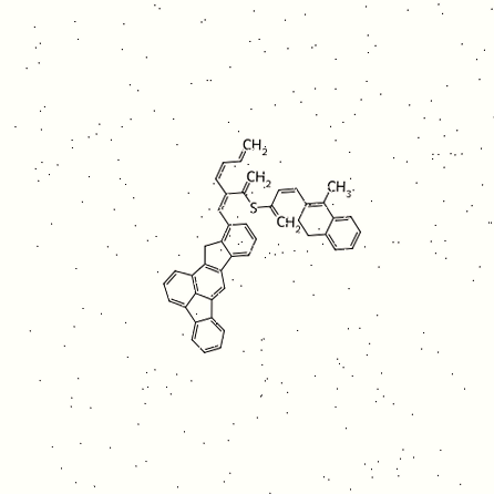 C=C/C=C\C(=Cc1cccc2c1Cc1c-2cc2c3c(cccc13)-c1ccccc1-2)C(=C)SC(=C)/C=C\C1=C(C)c2ccccc2CC1